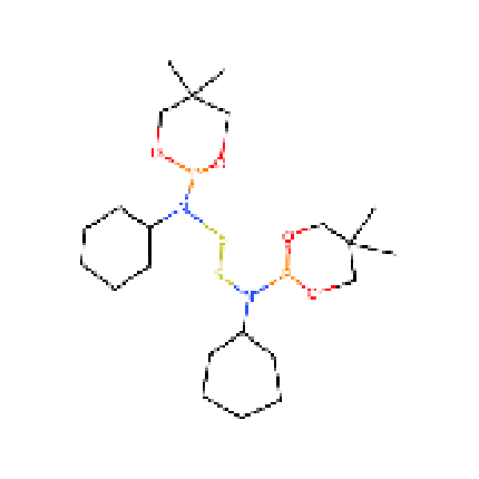 CC1(C)COP(N(SSN(C2CCCCC2)P2OCC(C)(C)CO2)C2CCCCC2)OC1